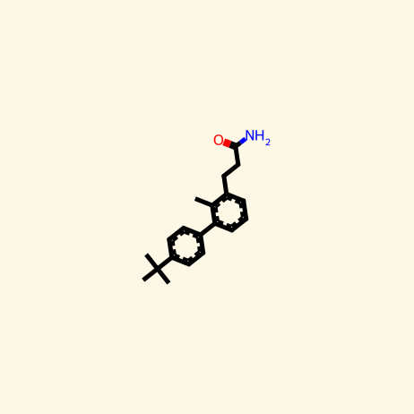 Cc1c(CCC(N)=O)cccc1-c1ccc(C(C)(C)C)cc1